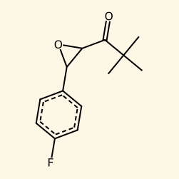 CC(C)(C)C(=O)C1OC1c1ccc(F)cc1